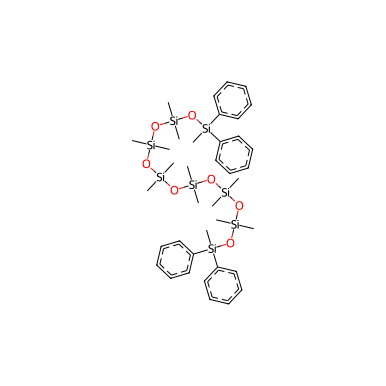 C[Si](C)(O[Si](C)(C)O[Si](C)(C)O[Si](C)(C)O[Si](C)(c1ccccc1)c1ccccc1)O[Si](C)(C)O[Si](C)(C)O[Si](C)(c1ccccc1)c1ccccc1